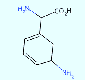 N[C]1C=CC=C(C(N)C(=O)O)C1